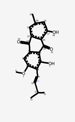 COc1cc2c(c(O)c1/C=C/C(C)C)C(=O)c1c(O)cc(C)cc1C2=O